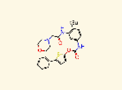 CC(C)(C)c1ccc(NC(=O)Oc2ccc(-c3ccccc3)s2)cc1NC(=O)CN1CCOCC1